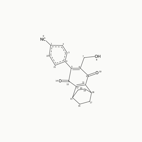 N#Cc1ccc(C2=C(CO)C(=O)C3=C(C2=O)C2CCC3CC2)cc1